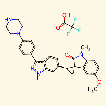 COc1ccc2c(c1)[C@]1(C[C@H]1c1ccc3c(-c4ccc(N5CCNCC5)cc4)n[nH]c3c1)C(=O)N2C.O=C(O)C(F)(F)F